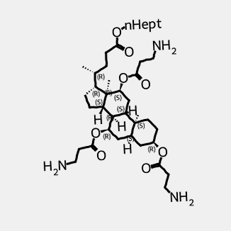 CCCCCCCOC(=O)CC[C@@H](C)[C@H]1CC[C@H]2[C@@H]3[C@H](OC(=O)CCN)C[C@@H]4C[C@H](OC(=O)CCN)CC[C@]4(C)[C@H]3C[C@H](OC(=O)CCN)[C@]12C